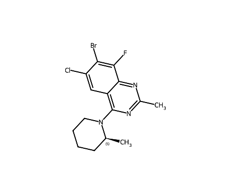 Cc1nc(N2CCCC[C@@H]2C)c2cc(Cl)c(Br)c(F)c2n1